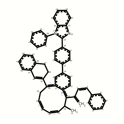 C=C(/C=C\c1ccccc1)/C1=c2\ccc(-c3ccc(-c4nc5ccccc5n4-c4ccccc4)cc3)c\c2=C(/C2=Cc3ccccc3CC2)C/C=C\C=C/C1C